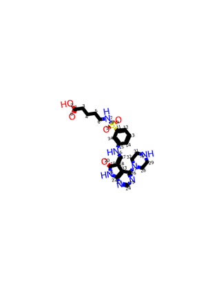 O=C(O)CCCCNS(=O)(=O)c1cccc(N/C=C2\C(=O)Nc3ncnc(N4CCNCC4)c32)c1